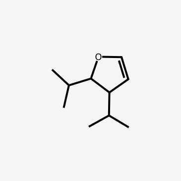 CC(C)C1C=COC1C(C)C